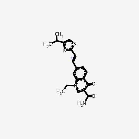 CCn1cc(C(N)=O)c(=O)c2ccc(/C=C/c3nc(C(C)C)cs3)cc21